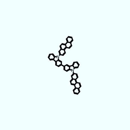 c1ccc2c(c1)ccc1c3ccc(-n4c5ccccc5c5cc(-c6ccc7c8ccccc8n(-c8ccc9c(ccc%10c%11ccccc%11ccc9%10)c8)c7c6)ccc54)cc3ccc21